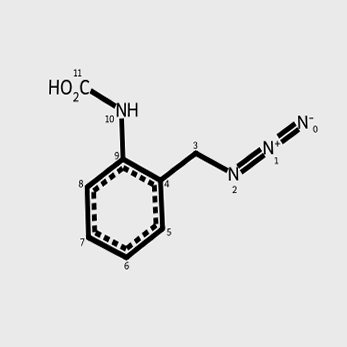 [N-]=[N+]=NCc1ccccc1NC(=O)O